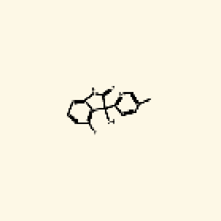 O=C1Nc2cccc(F)c2C1(O)c1ccc(F)cn1